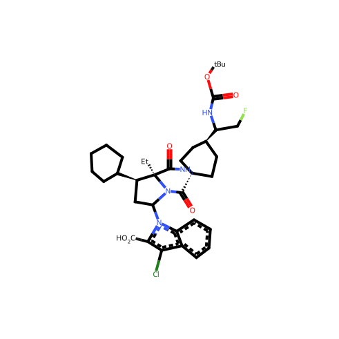 CC[C@@]1(C(N)=O)[C@H](C2CCCCC2)CC(n2c(C(=O)O)c(Cl)c3ccccc32)N1C(=O)[C@H]1CC[C@H](C(CF)NC(=O)OC(C)(C)C)CC1